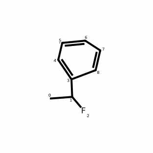 CC(F)c1c[c]ccc1